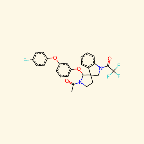 CC(=O)N1CCC2(CN(C(=O)C(F)(F)F)c3ccccc32)C1Oc1cccc(Oc2ccc(F)cc2)c1